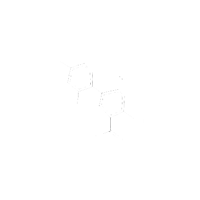 O=C([O-])c1cc(-c2ccc(F)cc2F)ccc1O.[Na+]